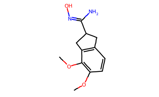 COc1ccc2c(c1OC)CC(/C(N)=N/O)C2